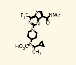 CNC(=O)c1csc2c(C(F)(F)F)nc(N3CCC(N(C(=O)O)[C@@H](C)C4CC4)CC3)nc12